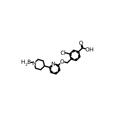 BN1CCC(c2cccc(OCc3ccc(C(=O)O)cc3Cl)n2)CC1